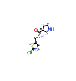 O=C(NCc1cnc(Cl)s1)C1CCNC1